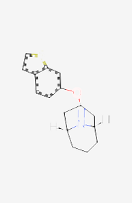 c1cc2ccc(O[C@@H]3C[C@H]4CCC[C@@H](C3)N4)cc2s1